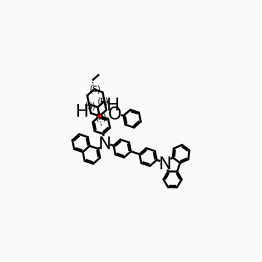 CC[C@@H]1C[C@H]2C[C@H](C)C[C@@H](C1)C2c1ccc(N(c2ccc(-c3ccc(-n4c5ccccc5c5ccccc54)cc3)cc2)c2cccc3ccccc23)cc1Oc1ccccc1